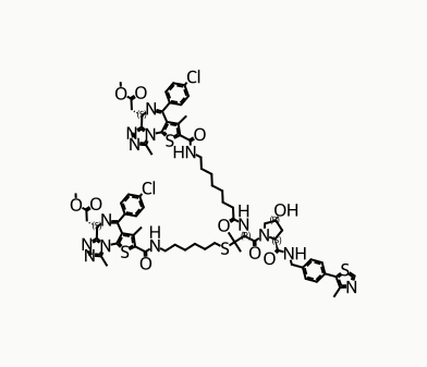 COC(=O)C[C@@H]1N=C(c2ccc(Cl)cc2)c2c(sc(C(=O)NCCCCCCCC(=O)N[C@H](C(=O)N3C[C@H](O)C[C@H]3C(=O)NCc3ccc(-c4scnc4C)cc3)C(C)(C)SCCCCCCNC(=O)c3sc4c(c3C)C(c3ccc(Cl)cc3)=N[C@@H](CC(=O)OC)c3nnc(C)n3-4)c2C)-n2c(C)nnc21